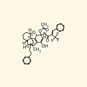 CC(=O)OC1(NC(=O)C(=Cc2ccccc2)C(F)(F)F)C=C(O)C2=C3C1O[C@H]1CCC[C@H]4[C@@H](C2)[N+](C)(CCc2ccccc2)CC[C@]314